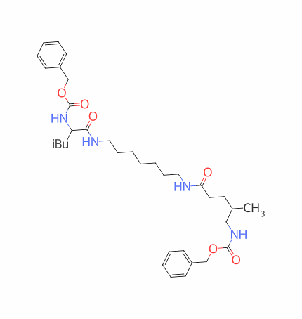 CCC(C)C(NC(=O)OCc1ccccc1)C(=O)NCCCCCCCNC(=O)CCC(C)CNC(=O)OCc1ccccc1